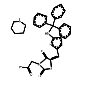 C1CCNCC1.O=C(O)CN1C(=O)S/C(=C/c2csc(NC(c3ccccc3)(c3ccccc3)c3ccccc3)n2)C1=O